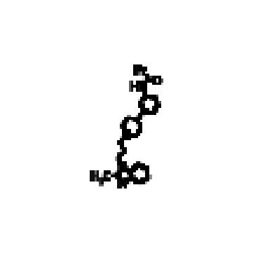 Cc1nc2ccccc2n1CCCN1CCC(c2cccc(NC(=O)C(C)C)c2)CC1